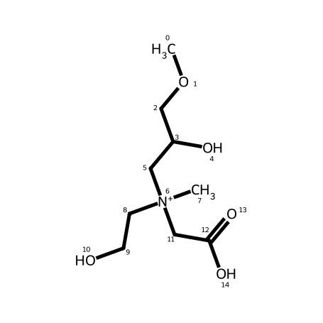 COCC(O)C[N+](C)(CCO)CC(=O)O